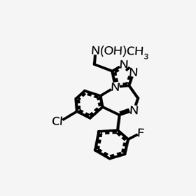 CN(O)Cc1nnc2n1-c1ccc(Cl)cc1C(c1ccccc1F)=NC2